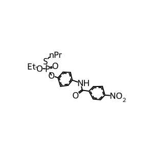 CCCSP(=O)(OCC)Oc1ccc(NC(=O)c2ccc([N+](=O)[O-])cc2)cc1